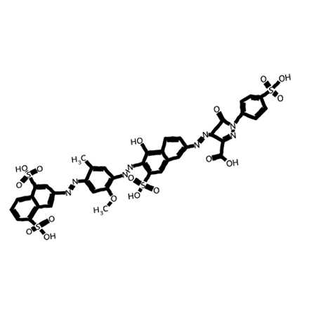 COc1cc(/N=N/c2cc(S(=O)(=O)O)c3cccc(S(=O)(=O)O)c3c2)c(C)cc1/N=N/c1c(S(=O)(=O)O)cc2cc(/N=N/C3C(=O)N(c4ccc(S(=O)(=O)O)cc4)N=C3C(=O)O)ccc2c1O